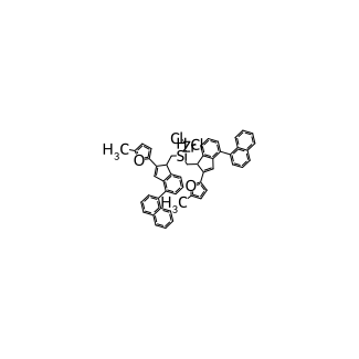 Cc1ccc(C2=Cc3c(-c4cccc5ccccc45)cccc3C2C[SiH](CC2C(c3ccc(C)o3)=Cc3c(-c4cccc5ccccc45)cccc32)[Zr]([Cl])[Cl])o1